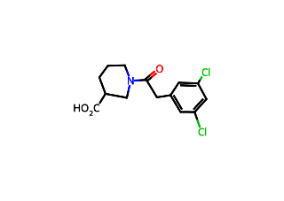 O=C(O)C1CCCN(C(=O)Cc2cc(Cl)cc(Cl)c2)C1